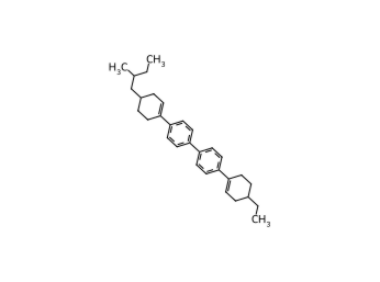 CCC(C)CC1CC=C(c2ccc(-c3ccc(C4=CCC(CC)CC4)cc3)cc2)CC1